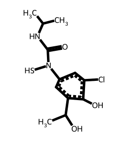 CC(C)NC(=O)N(S)c1cc(Cl)c(O)c(C(C)O)c1